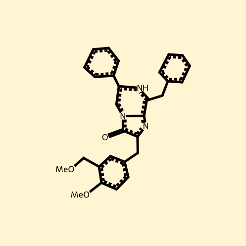 COCc1cc(Cc2nc3c(Cc4ccccc4)[nH]c(-c4ccccc4)cn-3c2=O)ccc1OC